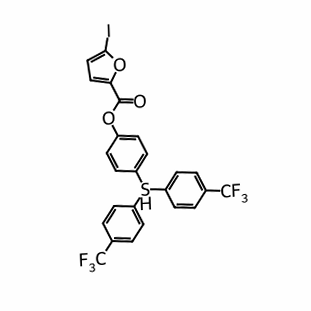 O=C(Oc1ccc([SH](c2ccc(C(F)(F)F)cc2)c2ccc(C(F)(F)F)cc2)cc1)c1ccc(I)o1